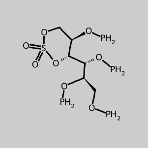 O=S1(=O)OC[C@@H](OP)[C@H]([C@H](OP)[C@@H](COP)OP)O1